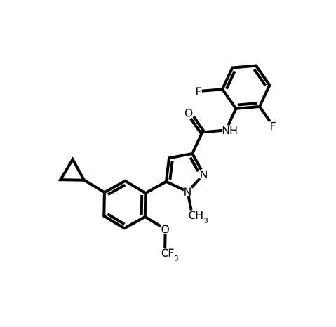 Cn1nc(C(=O)Nc2c(F)cccc2F)cc1-c1cc(C2CC2)ccc1OC(F)(F)F